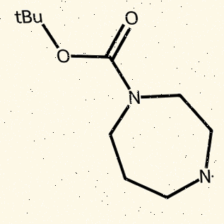 CC(C)(C)OC(=O)N1CCC[N]CC1